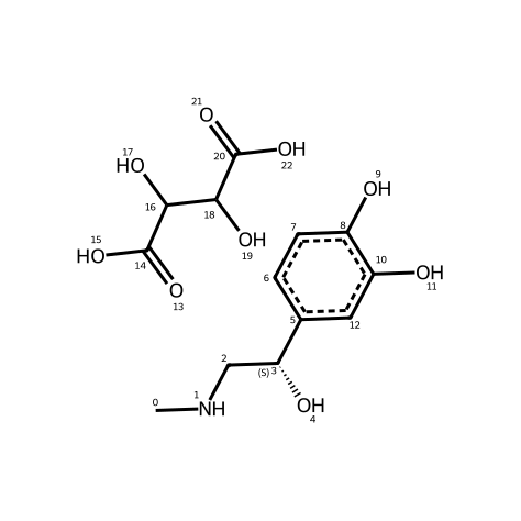 CNC[C@@H](O)c1ccc(O)c(O)c1.O=C(O)C(O)C(O)C(=O)O